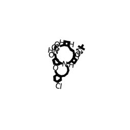 CC(C)(C)[Si](C)(C)OC1/C=C/[C@H]2CC[C@@H]2CS(=O)(=O)NC(=O)c2ccc3c(c2)N(CCCCc2cc(Cl)ccc2CO3)C[C@@H]2CC[C@@H]12